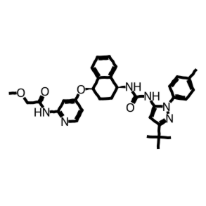 COCC(=O)Nc1cc(O[C@@H]2CC[C@H](NC(=O)Nc3cc(C(C)(C)C)nn3-c3ccc(C)cc3)c3ccccc32)ccn1